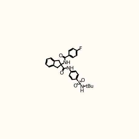 CC(C)(C)NS(=O)(=O)c1ccc(NC(=O)C2(NC(=O)c3ccc(F)cc3)Cc3ccccc3C2)cc1